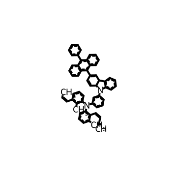 C#C/C=C\c1c(C)cccc1N(c1cccc(N2c3ccccc3C3C=C(c4c5ccccc5c(-c5ccccc5)c5ccccc45)C=CC32)c1)c1cccc(/C=C\C)c1C